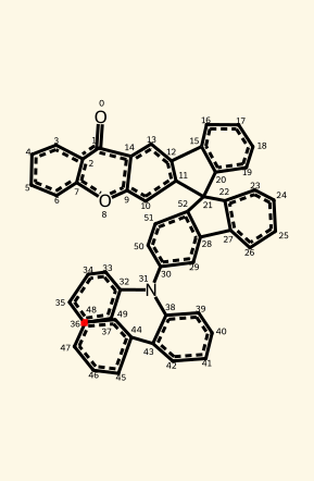 O=c1c2ccccc2oc2cc3c(cc12)-c1ccccc1C31c2ccccc2-c2cc(N(c3ccccc3)c3ccccc3-c3ccccc3)ccc21